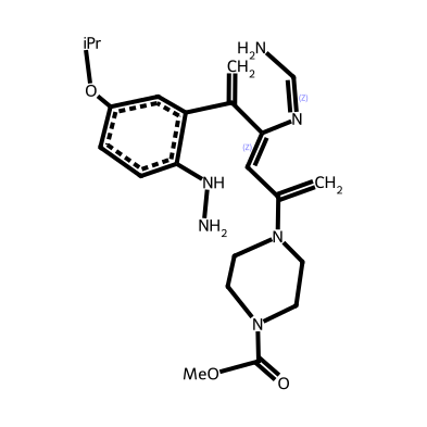 C=C(C(=C/C(=C)N1CCN(C(=O)OC)CC1)/N=C\N)c1cc(OC(C)C)ccc1NN